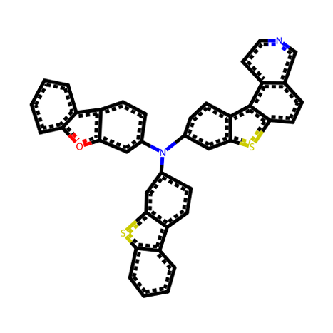 c1ccc2c(c1)oc1cc(N(c3ccc4c(c3)sc3ccccc34)c3ccc4c(c3)sc3ccc5cnccc5c34)ccc12